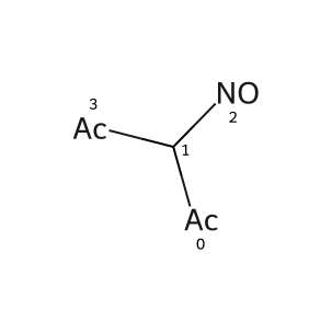 CC(=O)C(N=O)C(C)=O